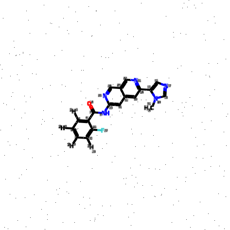 [2H]c1c([2H])c([2H])c(C(=O)Nc2cc3cc(-c4cncn4C)ncc3cn2)c(F)c1[2H]